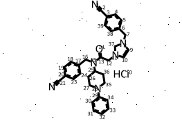 Cl.N#Cc1ccc(CN2C=CN(CC(=O)N(Cc3ccc(C#N)cc3)C3CCN(c4ccccc4)CC3)C2)cc1